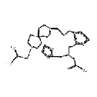 CC(C)CN1CCC2(CC1)CCN(CCCn1ccnc1CN(CC(=O)O)Cc1ncc[nH]1)C2